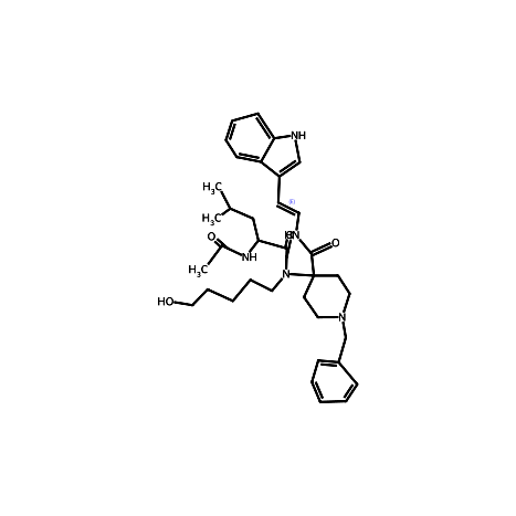 CC(=O)NC(CC(C)C)C(=O)N(CCCCCO)C1(C(=O)N/C=C/c2c[nH]c3ccccc23)CCN(Cc2ccccc2)CC1